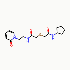 O=C(CSCC(=O)NC1CCCC1)NCCn1ccccc1=O